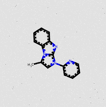 Cc1cn(-c2ccccn2)c2nc3ccccc3n12